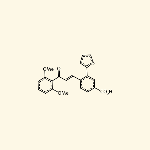 COc1cccc(OC)c1C(=O)C=Cc1ccc(C(=O)O)cc1-c1cccs1